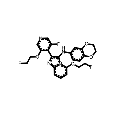 FCCOc1cncc(F)c1-c1nc2cccc(OCCF)n2c1Nc1ccc2c(c1)OCCO2